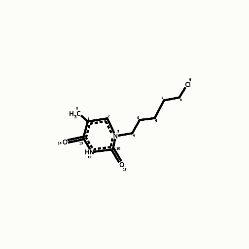 Cc1cn(CCCCCCl)c(=O)[nH]c1=O